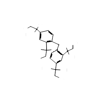 CC(C)(C)CC(C)(C)c1ccc(Cc2ccc(C(C)(C)CC(C)(C)C)cc2C(C)(C)CC(C)(C)C)c(C(C)(C)CC(C)(C)C)c1